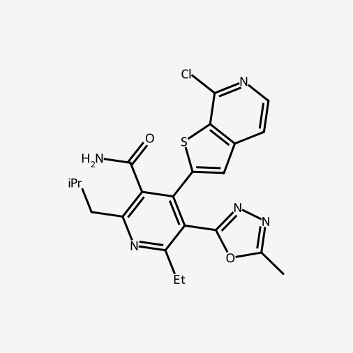 CCc1nc(CC(C)C)c(C(N)=O)c(-c2cc3ccnc(Cl)c3s2)c1-c1nnc(C)o1